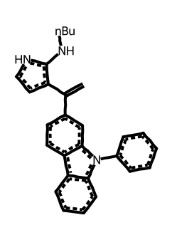 C=C(c1ccc2c3ccccc3n(-c3ccccc3)c2c1)c1cc[nH]c1NCCCC